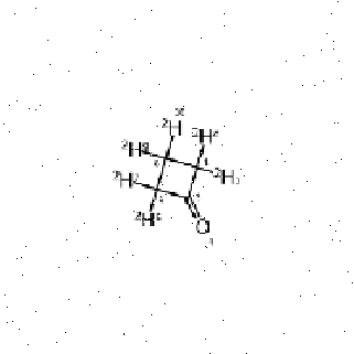 [2H]C1([2H])C(=O)C([2H])([2H])C1([2H])[2H]